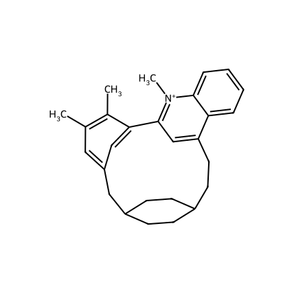 Cc1cc2cc(c1C)-c1cc(c3ccccc3[n+]1C)CCC1CCC(CC1)C2